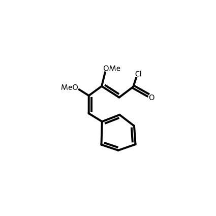 COC(=CC(=O)Cl)C(=Cc1ccccc1)OC